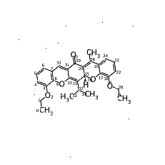 CCOc1cccc2c1OC1=C(C(C)C)[C@H]3Oc4c(OCC)cccc4C(C)=C3C(=O)C1=C2